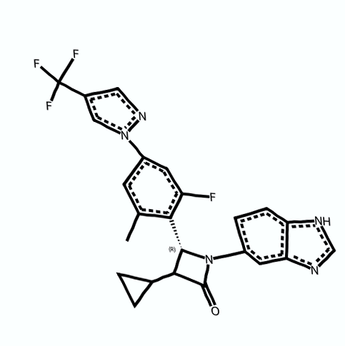 Cc1cc(-n2cc(C(F)(F)F)cn2)cc(F)c1[C@H]1C(C2CC2)C(=O)N1c1ccc2[nH]cnc2c1